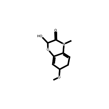 COC1C=C2OC(O)C(=O)N(C)C2=CC1